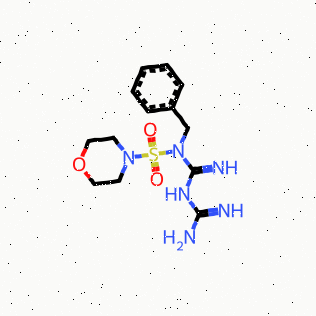 N=C(N)NC(=N)N(Cc1ccccc1)S(=O)(=O)N1CCOCC1